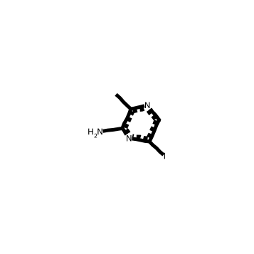 Cc1ncc(I)nc1N